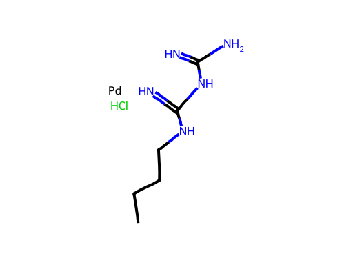 CCCCNC(=N)NC(=N)N.Cl.[Pd]